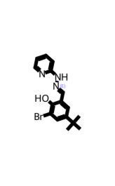 CC(C)(C)c1cc(Br)c(O)c(/C=N/Nc2ccccn2)c1